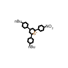 CCCCc1ccc(-c2cc(-c3ccc(CCCC)cc3)[s+]c(-c3ccc([N+](=O)[O-])cc3)c2)cc1